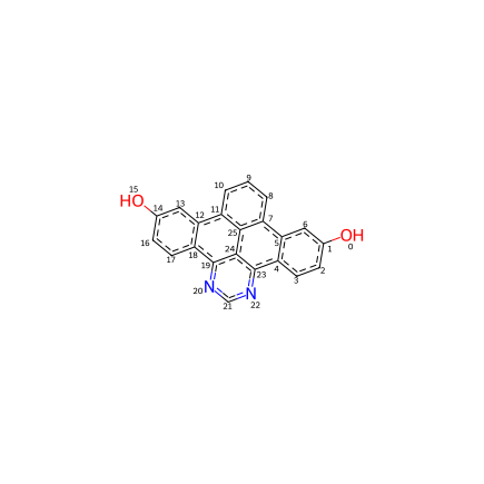 Oc1ccc2c(c1)c1cccc3c4cc(O)ccc4c4ncnc2c4c13